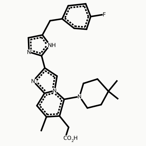 Cc1cc2nc(-c3ncc(Cc4ccc(F)cc4)[nH]3)cn2c(N2CCC(C)(C)CC2)c1CC(=O)O